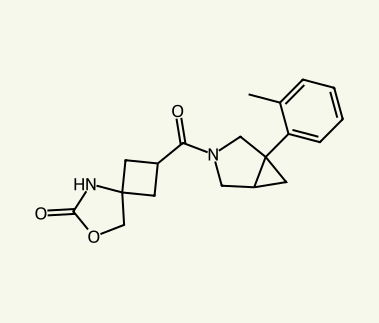 Cc1ccccc1C12CC1CN(C(=O)C1CC3(COC(=O)N3)C1)C2